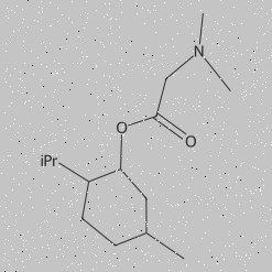 CC1CCC(C(C)C)C(OC(=O)CN(C)C)C1